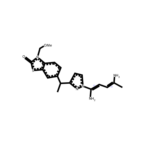 COCn1c(=O)sc2cc(C(C)c3ccn(/C(N)=C/C=C(/C)N)n3)ccc21